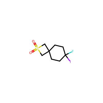 O=S1(=O)CC2(CCC(F)(I)CC2)C1